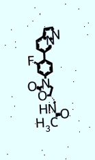 CC(=O)NC[C@H]1CN(c2ccc(-c3ccc4ccnn4c3)c(F)c2)C(=O)O1